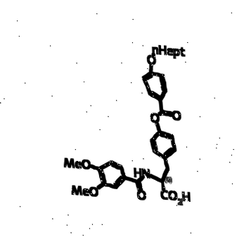 CCCCCCCOc1ccc(C(=O)Oc2ccc(C[C@H](NC(=O)c3ccc(OC)c(OC)c3)C(=O)O)cc2)cc1